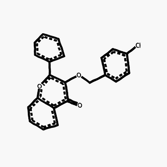 O=c1c(OCc2ccc(Cl)cc2)c(-c2ccccc2)oc2ccccc12